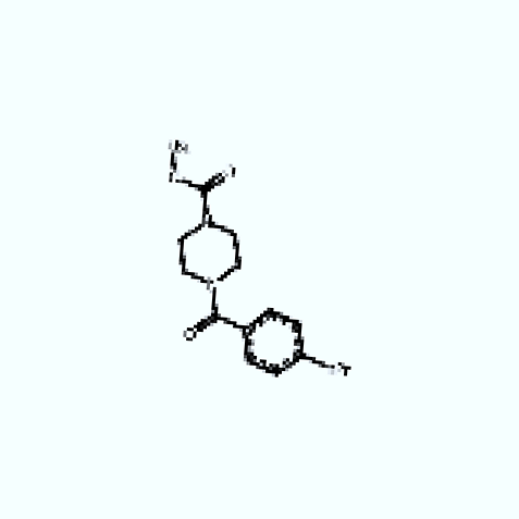 CCCc1ccc(C(=O)N2CCN(C(=O)OC(C)(C)C)CC2)cc1